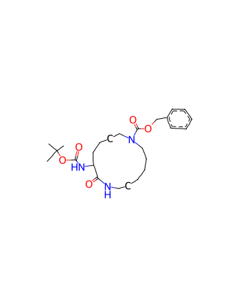 CC(C)(C)OC(=O)NC1CCCCN(C(=O)OCc2ccccc2)CCCCCCNC1=O